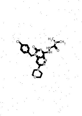 CN(C)C(=O)NNc1nc(=O)n(Cc2ccc(Cl)cc2)c2cc(N3CCOCC3)nnc12